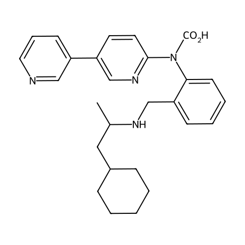 CC(CC1CCCCC1)NCc1ccccc1N(C(=O)O)c1ccc(-c2cccnc2)cn1